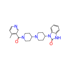 Cc1ccncc1C(=O)N1CCC(N2CCC(n3c(=O)[nH]c4ccccc43)CC2)CC1